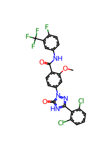 COc1cc(-n2nc(-c3c(Cl)cccc3Cl)[nH]c2=O)ccc1C(=O)Nc1ccc(F)c(C(F)(F)F)c1